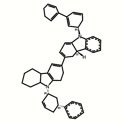 C1=CC(C2=C[C@H](N3C4=CC=C(C5=CC6=C(CC5)N([C@H]5C=CC[C@@H](c7ccccc7)C5)C5CCCCC65)C[C@H]4c4ccccc43)CC=C2)=CCC1